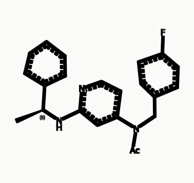 CC(=O)N(Cc1ccc(F)cc1)c1ccnc(N[C@@H](C)c2ccccc2)c1